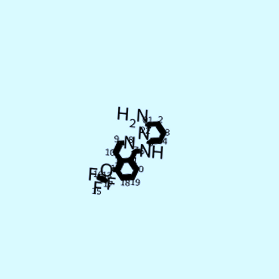 Nc1cccc(Nc2nccc3c(OC(F)(F)F)cccc23)n1